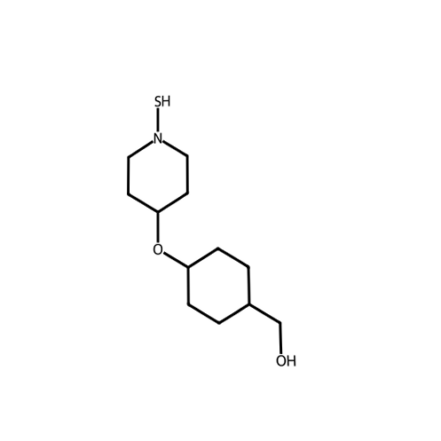 OCC1CCC(OC2CCN(S)CC2)CC1